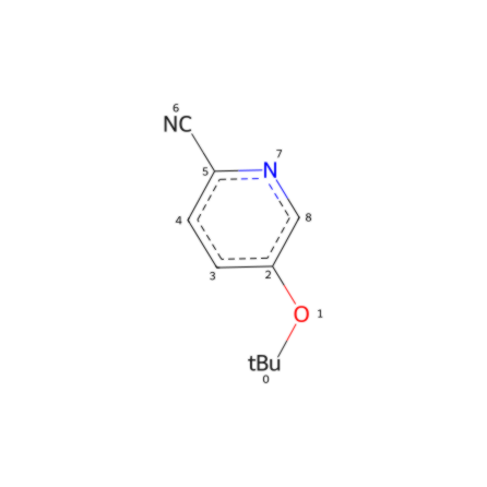 CC(C)(C)Oc1ccc(C#N)nc1